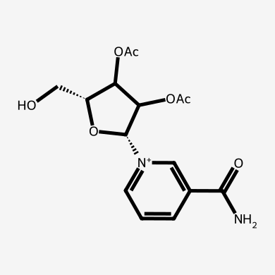 CC(=O)OC1C(OC(C)=O)[C@@H](CO)O[C@H]1[n+]1cccc(C(N)=O)c1